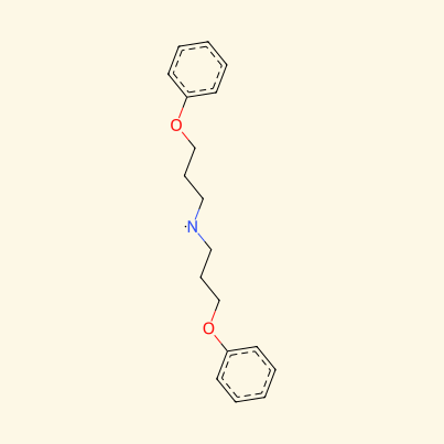 c1ccc(OCCC[N]CCCOc2ccccc2)cc1